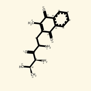 CC1=C(CC(N)C(=O)[C@@H](N)[C@@H](C)O)C(=O)c2ccccc2C1=O